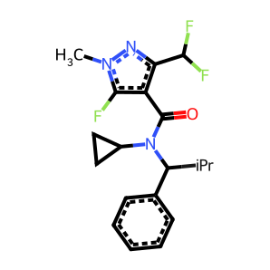 CC(C)C(c1ccccc1)N(C(=O)c1c(C(F)F)nn(C)c1F)C1CC1